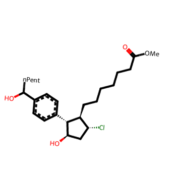 CCCCCC(O)c1ccc([C@@H]2[C@@H](CCCCCCC(=O)OC)[C@H](Cl)C[C@H]2O)cc1